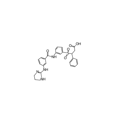 O=C(O)CC(c1ccccc1)S(=O)(=O)c1cccc(NC(=O)c2cccc(NC3=NCCCN3)c2)c1